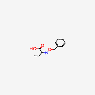 CC/C(=N/OCc1ccccc1)C(=O)O